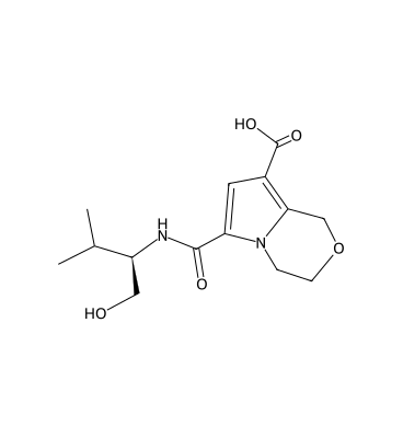 CC(C)[C@H](CO)NC(=O)c1cc(C(=O)O)c2n1CCOC2